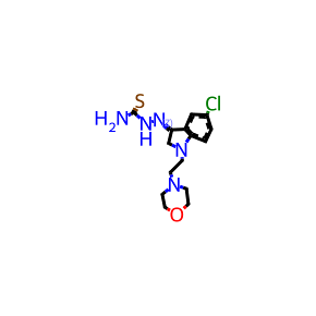 NC(=S)N/N=C1\CN(CCN2CCOCC2)c2ccc(Cl)cc21